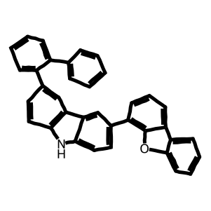 c1ccc(-c2ccccc2-c2ccc3[nH]c4ccc(-c5cccc6c5oc5ccccc56)cc4c3c2)cc1